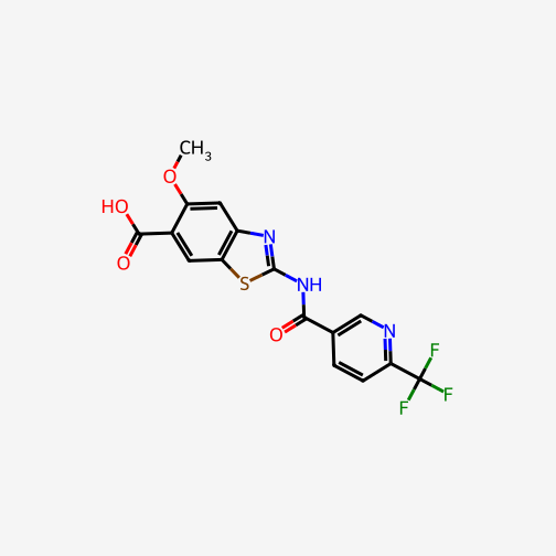 COc1cc2nc(NC(=O)c3ccc(C(F)(F)F)nc3)sc2cc1C(=O)O